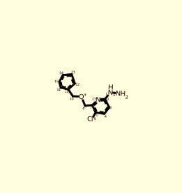 NNc1ccc(Cl)c(COCc2ccccc2)n1